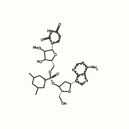 COC1C(O)[C@@H](COP(=O)(OC2C[C@H](n3cnc4c(N)ncnc43)O[C@@H]2CO)N2CC(C)CC(C)C2)O[C@H]1n1ccc(=O)[nH]c1=O